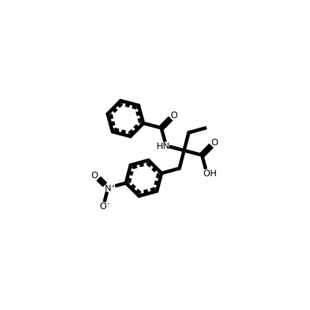 CCC(Cc1ccc([N+](=O)[O-])cc1)(NC(=O)c1ccccc1)C(=O)O